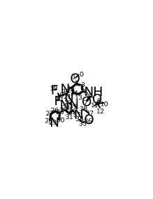 COc1cc(NC(=O)OC(C)(C)C)cc2c1nc(C(F)F)n2-c1nc(-c2cccnc2)cc(N2CCOCC2)n1